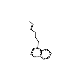 CC=CCCCc1cccc2ccccc12